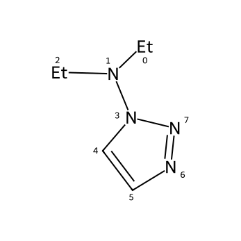 CCN(CC)n1ccnn1